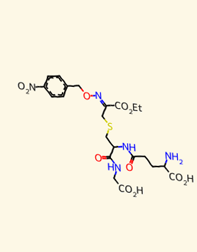 CCOC(=O)C(CSCC(NC(=O)CCC(N)C(=O)O)C(=O)NCC(=O)O)=NOCc1ccc([N+](=O)[O-])cc1